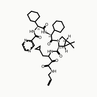 C=CCNC(=O)C(=O)C(CC1CC1)NC(=O)[C@@H]1[C@@H]2[C@H](CN1C(=O)[C@@H](NC(=O)[C@@H](NC(=O)c1cnccn1)C1CCCCC1)C1CCCCC1)C2(C)C